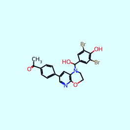 CC(=O)c1ccc(-c2cnc3c(c2)N(C(O)c2cc(Br)c(O)c(Br)c2)CCO3)cc1